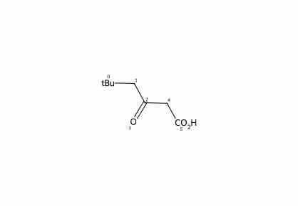 CC(C)(C)CC(=O)CC(=O)O